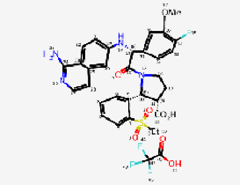 CCS(=O)(=O)c1ccccc1[C@H]1[C@@H](C(=O)O)CCN1C(=O)[C@H](Nc1ccc2c(N)nccc2c1)c1ccc(F)c(OC)c1.O=C(O)C(F)(F)F